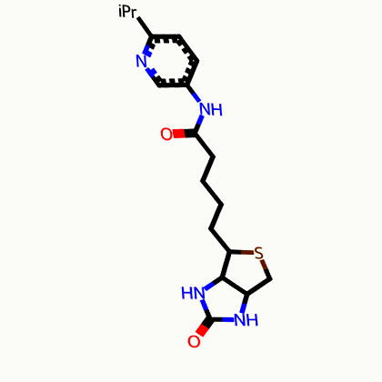 CC(C)c1ccc(NC(=O)CCCCC2SCC3NC(=O)NC32)cn1